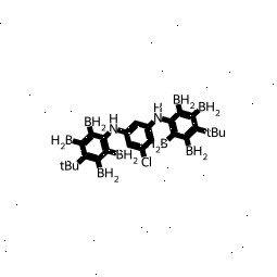 Bc1c(B)c(C(C)(C)C)c(B)c(B)c1Nc1cc(Cl)cc(Nc2c(B)c(B)c(C(C)(C)C)c(B)c2B)c1